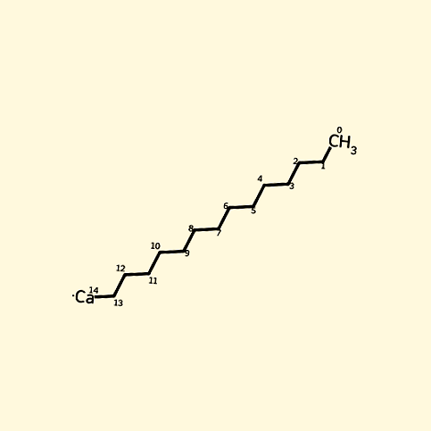 CCCCCCCCCCCCC[CH2][Ca]